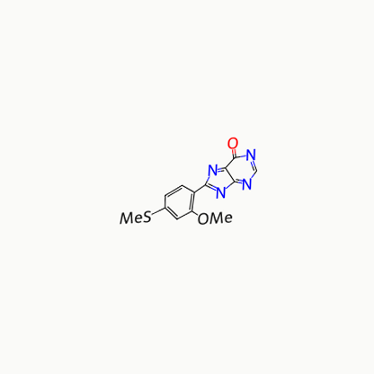 COc1cc(SC)ccc1C1=NC2=NC=NC(=O)C2=N1